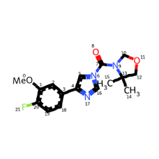 COc1cc(-c2cn(C(=O)N3COCC3(C)C)cn2)ccc1F